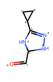 O=CC1NN=C(C2CC2)N1